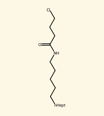 CCCCCCCCCCCCNC(=O)CCCCl